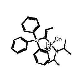 CC=C([Si](c1ccccc1)(c1ccccc1)c1ccccc1)[PH](O)(O)N(C(C)C)C(C)C